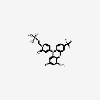 Cc1cc(F)ccc1Oc1cc(C(F)(F)F)ccc1Nc1ccn(COP(=O)(O)O)c(=O)c1